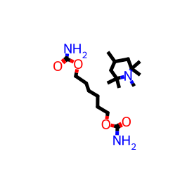 CC1CC(C)(C)N(C)C(C)(C)C1.NC(=O)OCCCCCCOC(N)=O